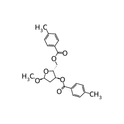 CO[C@@H]1C[C@H](OC(=O)c2ccc(C)cc2)[C@@H](COC(=O)c2ccc(C)cc2)O1